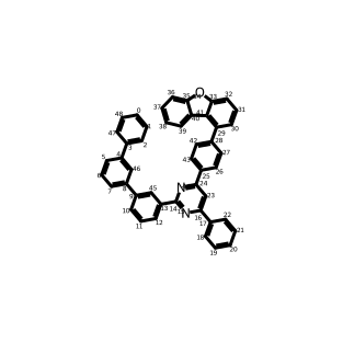 c1ccc(-c2cccc(-c3cccc(-c4nc(-c5ccccc5)cc(-c5ccc(-c6cccc7oc8ccccc8c67)cc5)n4)c3)c2)cc1